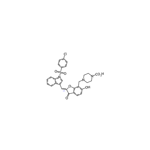 O=C1/C(=C/c2cn(S(=O)(=O)c3ccc(Cl)cc3)c3ccccc23)Oc2c1ccc(O)c2CN1CCN(C(=O)O)CC1